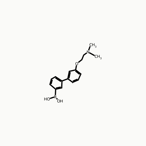 CN(C)CCOc1cc[c]c(-c2cccc(B(O)O)c2)c1